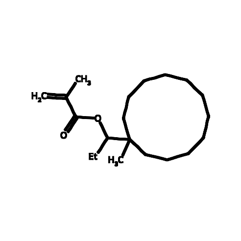 C=C(C)C(=O)OC(CC)C1(C)CCCCCCCCCCC1